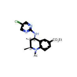 CCOC(=O)c1ccc2c(c1)[C@H](Nc1ncc(Cl)cn1)[C@@H](C)[C@H](C)N2C(C)=O